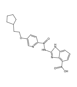 O=C(Nc1nc2c(C(=O)O)cccc2[nH]1)c1ccc(OCCC2CCCC2)cn1